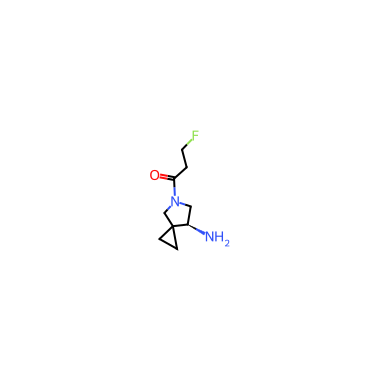 N[C@@H]1CN(C(=O)CCF)CC12CC2